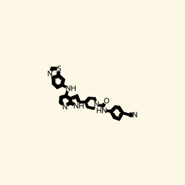 N#Cc1ccc(NC(=O)N2CC=C(c3cc4c(Nc5ccc6ncsc6c5)ccnc4[nH]3)CC2)cc1